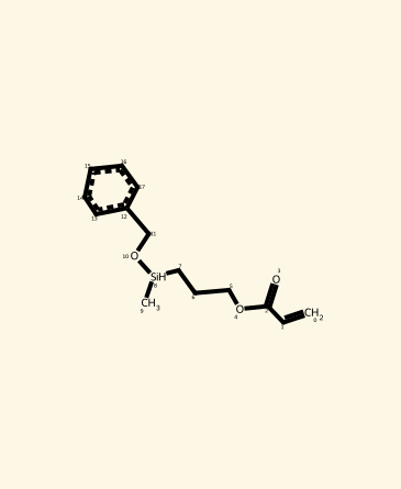 C=CC(=O)OCCC[SiH](C)OCc1ccccc1